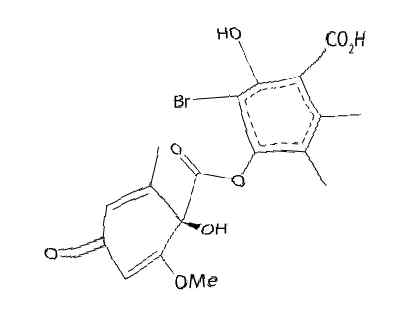 COC1=CC(=O)C=C(C)[C@]1(O)C(=O)Oc1c(C)c(C)c(C(=O)O)c(O)c1Br